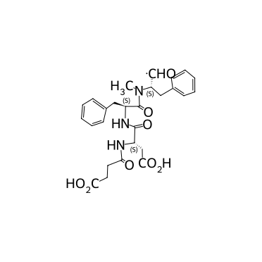 CN(C(=O)[C@H](Cc1ccccc1)NC(=O)[C@H](CC(=O)O)NC(=O)CCC(=O)O)[C@H]([C]=O)Cc1ccccc1